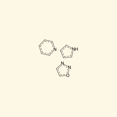 c1cc[nH]c1.c1ccncc1.c1conn1